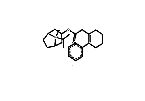 CC(C)[N+]1(C)C2CCC1CC(OC(=O)CC1=C(c3ccccc3)CCCC1)C2.[I-]